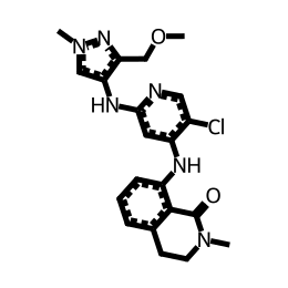 COCc1nn(C)cc1Nc1cc(Nc2cccc3c2C(=O)N(C)CC3)c(Cl)cn1